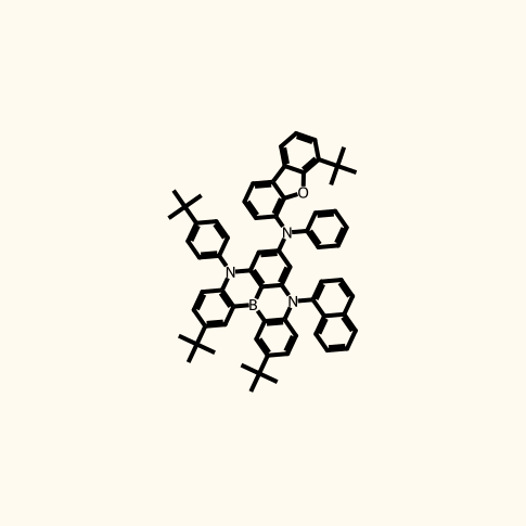 CC(C)(C)c1ccc(N2c3ccc(C(C)(C)C)cc3B3c4cc(C(C)(C)C)ccc4N(c4cccc5ccccc45)c4cc(N(c5ccccc5)c5cccc6c5oc5c(C(C)(C)C)cccc56)cc2c43)cc1